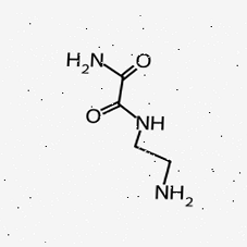 NCCNC(=O)C(N)=O